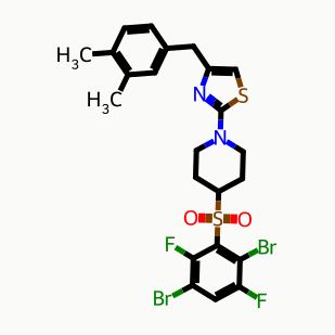 Cc1ccc(Cc2csc(N3CCC(S(=O)(=O)c4c(F)c(Br)cc(F)c4Br)CC3)n2)cc1C